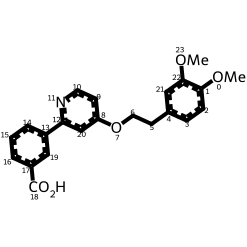 COc1ccc(CCOc2ccnc(-c3cccc(C(=O)O)c3)c2)cc1OC